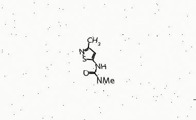 CNC(=O)Nc1cc(C)ns1